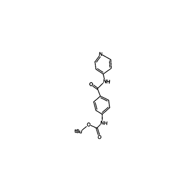 CC(C)(C)OC(=O)Nc1ccc(C(=O)Nc2ccncc2)cc1